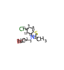 C#CC[n+]1c(C)sc2ccc(Cl)cc21.[Br-]